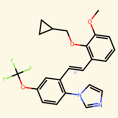 COc1cccc(/C=C/c2cc(OC(F)(F)F)ccc2-n2ccnc2)c1OCC1CC1